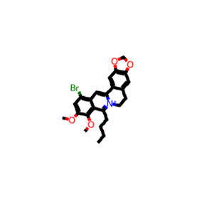 CCCCc1c2c(OC)c(OC)cc(Br)c2cc2[n+]1CCc1cc3c(cc1-2)OCO3